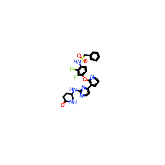 O=C1CCC(Nc2nccc(-c3cccnc3Oc3ccc(NS(=O)(=O)Cc4ccccc4)c(F)c3F)n2)CN1